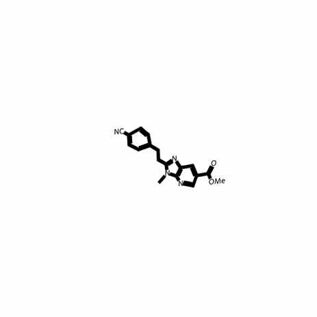 COC(=O)c1cnc2c(c1)nc(CCc1ccc(C#N)cc1)n2C